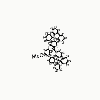 COc1ccc(N(c2ccc(C3(c4ccccc4)c4ccccc4-c4ccccc43)cc2)c2ccc3c(c2)C(c2ccccc2)(c2ccccc2)c2ccccc2-3)cc1